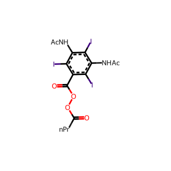 CCCC(=O)OOC(=O)c1c(I)c(NC(C)=O)c(I)c(NC(C)=O)c1I